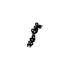 O=[N+]([O-])c1cn2c(n1)OC[C@@H](NCc1ccc(OC(F)(F)F)cc1)C2